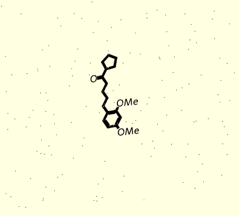 COc1ccc(CCCCC(=O)C2CCCC2)c(OC)c1